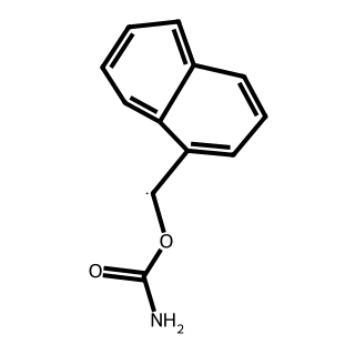 NC(=O)O[CH]c1cccc2ccccc12